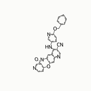 N#Cc1cnc2cc(Oc3ccncc3)c([N+](=O)[O-])cc2c1Nc1ccc(OCc2ccccc2)nc1